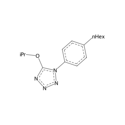 [CH2]CCCCCc1ccc(-n2nnnc2OC(C)C)cc1